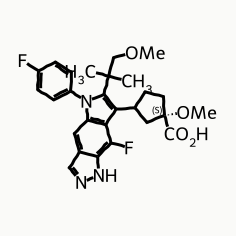 COCC(C)(C)c1c(C2CC[C@@](OC)(C(=O)O)C2)c2c(F)c3[nH]ncc3cc2n1-c1ccc(F)cc1